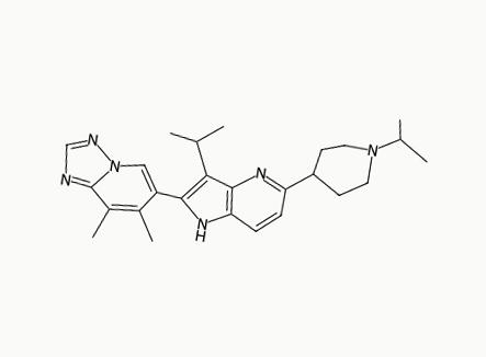 Cc1c(-c2[nH]c3ccc(C4CCN(C(C)C)CC4)nc3c2C(C)C)cn2ncnc2c1C